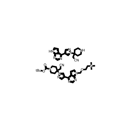 CC(C)(C)OC(=O)N1CCC(CC#N)(n2cc(-c3ncnc4c3ccn4COCC[Si](C)(C)C)cn2)CC1.N#CCC1(n2cc(-c3ncnc4[nH]ccc34)cn2)CCNCC1